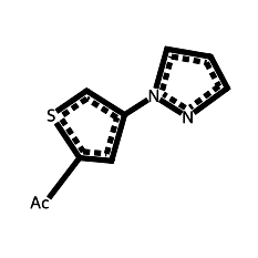 CC(=O)c1cc(-n2cccn2)cs1